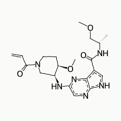 C=CC(=O)N1CC[C@@H](OC)[C@@H](Nc2cnc3[nH]cc(C(=O)N[C@@H](C)COC)c3n2)C1